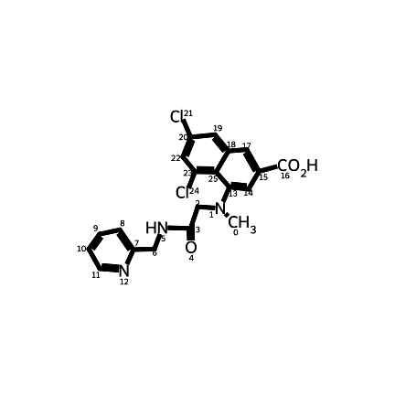 CN(CC(=O)NCc1ccccn1)c1cc(C(=O)O)cc2cc(Cl)cc(Cl)c12